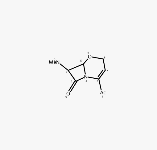 CNC1C(=O)N2C(C(C)=O)=CCOC12